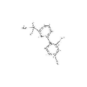 CC(C)(O)c1cccc(-c2cnc(Cl)cc2F)n1